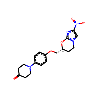 O=C1CCN(c2ccc(OC[C@H]3CCn4cc([N+](=O)[O-])nc4O3)cc2)CC1